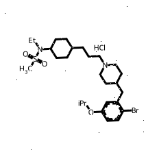 CCN(C1CCC(CCCN2CCC(Cc3cc(OC(C)C)ccc3Br)CC2)CC1)S(C)(=O)=O.Cl